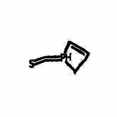 S=[PH]1C=CC1